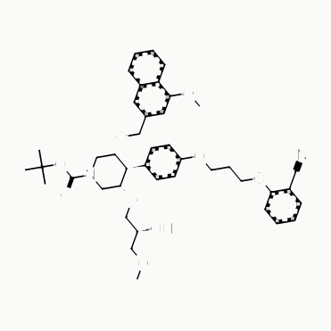 COC[C@H](O)CO[C@@H]1CN(C(=O)OC(C)(C)C)C[C@H](OCc2cc(OC)c3ccccc3c2)[C@H]1c1ccc(OCCCOc2ccccc2C#N)cc1